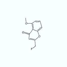 COc1cccc2oc(CF)cc(=O)c12